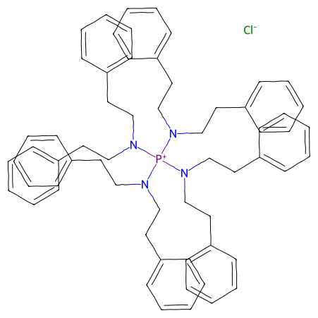 [Cl-].c1ccc(CCN(CCc2ccccc2)[P+](N(CCc2ccccc2)CCc2ccccc2)(N(CCc2ccccc2)CCc2ccccc2)N(CCc2ccccc2)CCc2ccccc2)cc1